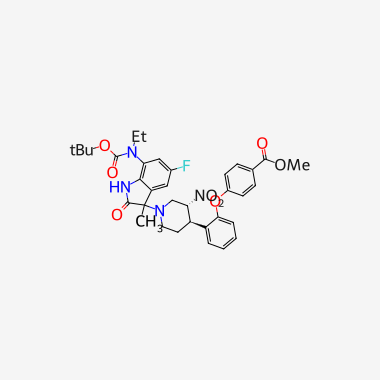 CCN(C(=O)OC(C)(C)C)c1cc(F)cc2c1NC(=O)C2(C)N1CC[C@H](c2ccccc2Oc2ccc(C(=O)OC)cc2)[C@@H]([N+](=O)[O-])C1